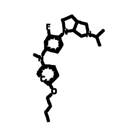 CCCCOc1ccc(N(C)c2ccc(N3CCC4CN(C(C)C)CC43)c(F)c2)cc1